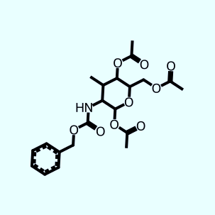 CC(=O)OCC1OC(OC(C)=O)C(NC(=O)OCc2ccccc2)C(C)C1OC(C)=O